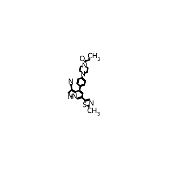 C=CC(=O)N1CCN(c2ccc(-c3cc(-c4cnc(C)s4)cn4ncc(C#N)c34)cc2)CC1